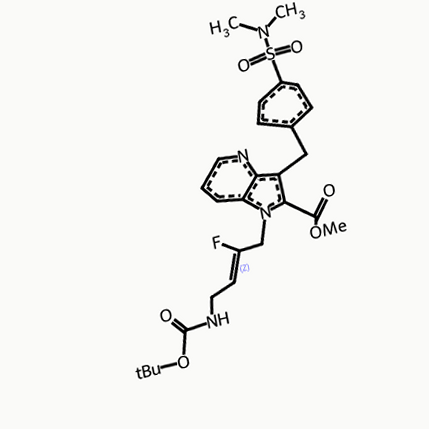 COC(=O)c1c(Cc2ccc(S(=O)(=O)N(C)C)cc2)c2ncccc2n1C/C(F)=C/CNC(=O)OC(C)(C)C